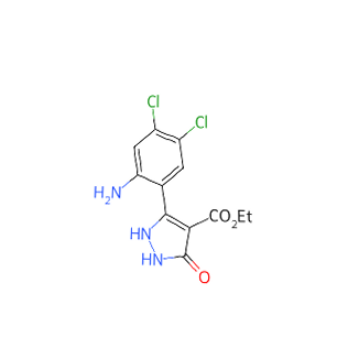 CCOC(=O)c1c(-c2cc(Cl)c(Cl)cc2N)[nH][nH]c1=O